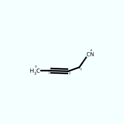 CC#C[CH]C#N